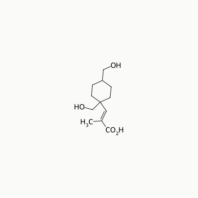 CC(=CC1(CO)CCC(CO)CC1)C(=O)O